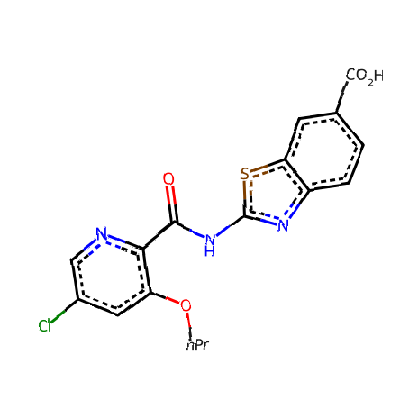 CCCOc1cc(Cl)cnc1C(=O)Nc1nc2ccc(C(=O)O)cc2s1